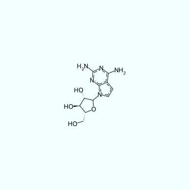 Nc1nc(N)c2ccn(C3O[C@H](CO)[C@@H](O)[C@@H]3O)c2n1